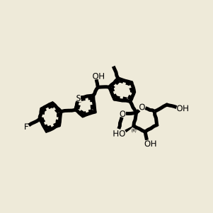 COC1(c2ccc(C)c(C(O)c3ccc(-c4ccc(F)cc4)s3)c2)OC(CO)CC(O)[C@H]1O